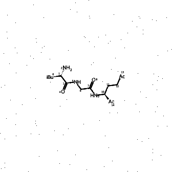 CC[C@H](C)[C@H](N)C(=O)NCC(=O)N[C@@H](CCC(C)=O)C(C)=O